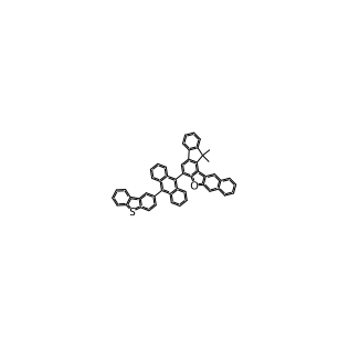 CC1(C)c2ccccc2-c2cc(-c3c4ccccc4c(-c4ccc5sc6ccccc6c5c4)c4ccccc34)c3oc4cc5ccccc5cc4c3c21